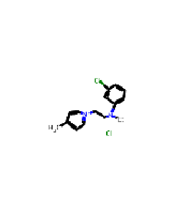 CCN(CC[n+]1ccc(C)cc1)c1cccc(Cl)c1.[Cl-]